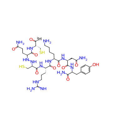 [2H]C(=O)[C@H](CS)NC(=O)C(CCC(N)=O)NNC(CS)C(=O)N[C@@H](CCCNC(=N)N)C(=O)NC(CCCCN)C(=O)N[C@@H](CC(N)=O)C(=O)NC(Cc1ccc(O)cc1)C(N)=O